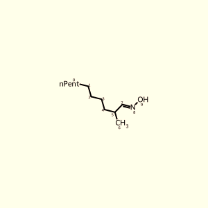 CCCCCCCCCC(C)C=NO